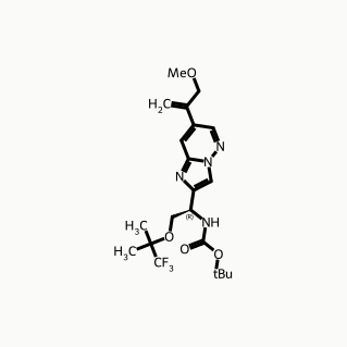 C=C(COC)c1cnn2cc([C@H](COC(C)(C)C(F)(F)F)NC(=O)OC(C)(C)C)nc2c1